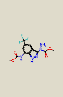 COC(=O)Nc1cc(C(F)(F)F)cc2c(N(N)C(=O)OC)n[nH]c12